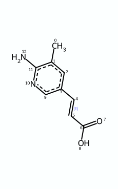 Cc1cc(/C=C/C(=O)O)cnc1N